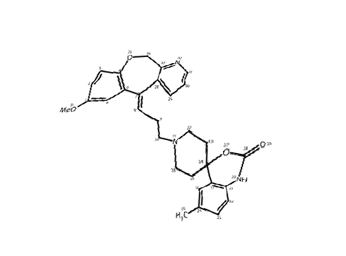 COc1ccc2c(c1)/C(=C/CCN1CCC3(CC1)OC(=O)Nc1ccc(C)cc13)c1cccnc1CO2